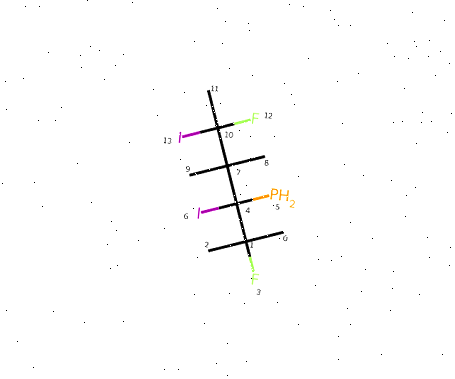 CC(C)(F)C(P)(I)C(C)(C)C(C)(F)I